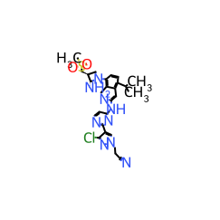 CC(C)c1ccc(N2C[C@H](CS(C)(=O)=O)[C@H]2N)c2cnc(Nc3ccnc(-c4cn(CCC#N)nc4Cl)n3)cc12